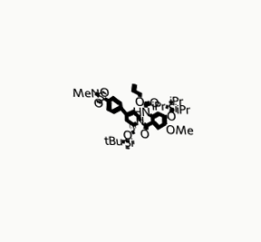 C=CCOC(=O)Nc1cc(O[Si](C(C)C)(C(C)C)C(C)C)c(OC)cc1C(=O)N1CC=C(c2ccc(S(=O)(=O)NC)cc2)C[C@H]1CO[Si](C)(C)C(C)(C)C